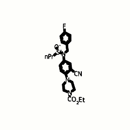 CCC[S+]([O-])N(Cc1ccc(F)cc1)c1ccc(N2CCN(C(=O)OCC)CC2)c(C#N)c1